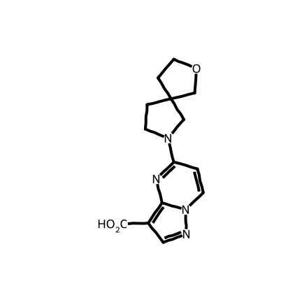 O=C(O)c1cnn2ccc(N3CCC4(CCOC4)C3)nc12